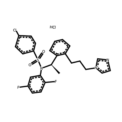 C[C@H](c1ccccc1CCCn1ccnc1)N(c1cc(F)ccc1F)S(=O)(=O)c1ccc(Cl)cc1.Cl